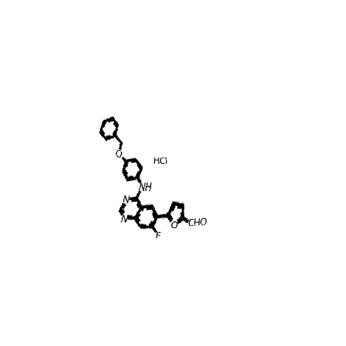 Cl.O=Cc1ccc(-c2cc3c(Nc4ccc(OCc5ccccc5)cc4)ncnc3cc2F)o1